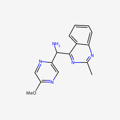 COc1cnc(C(N)c2nc(C)nc3ccccc23)cn1